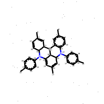 CC1=CC2B3c4cc(C)ccc4N(c4ccc(C)cc4)C4C=C(C)C=C(C34)N(c3ccc(C)cc3)C2C=C1